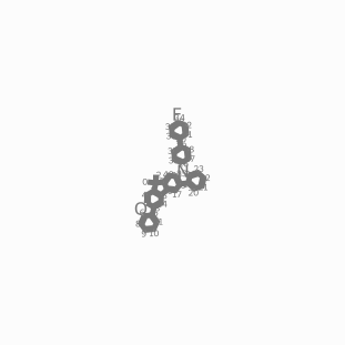 CC1(C)c2cc3oc4ccccc4c3cc2-c2cc3c4ccccc4n(-c4ccc(-c5ccc(F)cc5)cc4)c3cc21